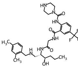 CCC[C@@H](O)[C@H](CNCc1ccc(C)cc1C)NC(=O)CNC(=O)c1cc(C(F)(F)F)ccc1NC(=O)N1CCNCC1